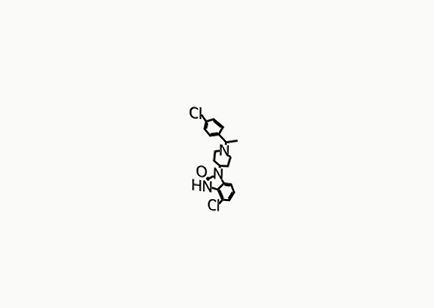 CC(c1ccc(Cl)cc1)N1CCC(n2c(=O)[nH]c3c(Cl)cccc32)CC1